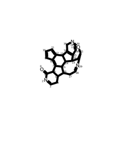 O=C1N=CCC2C1C1=C3C=CC=C3C3C4=C5C=CN(C4)OC4CC5C3C1C2C/C=N\4